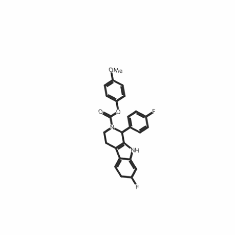 COc1ccc(OC(=O)N2CCc3c([nH]c4c3=CCC(F)C=4)C2c2ccc(F)cc2)cc1